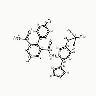 Cc1cc(C(=O)O)c(-c2ccc(Cl)cc2)c(C(=O)O)c1.FC(F)(F)Sc1ccc(-n2cccc2)cc1